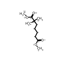 COC(=O)CCCCC(C)(C)C(=O)OC